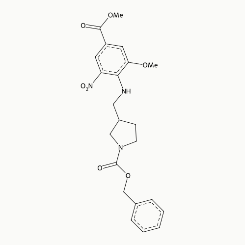 COC(=O)c1cc(OC)c(NCC2CCN(C(=O)OCc3ccccc3)C2)c([N+](=O)[O-])c1